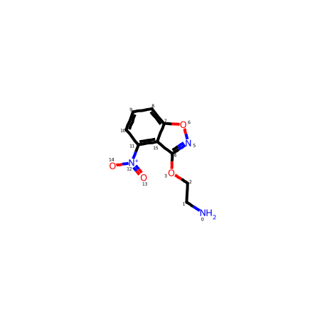 NCCOc1noc2cccc([N+](=O)[O-])c12